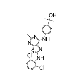 Cc1nc(Nc2ccc(C(C)(C)O)cc2)c2nc(Nc3c(Cl)cccc3Cl)sc2n1